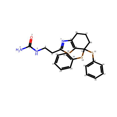 NC(=O)NCCc1nc2c(s1)C(Sc1ccccc1)(Sc1ccccc1)CCC2